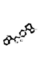 Cl.OC(CCN1CCN(c2cccc3[nH]ccc23)CC1)c1csc2ccccc12